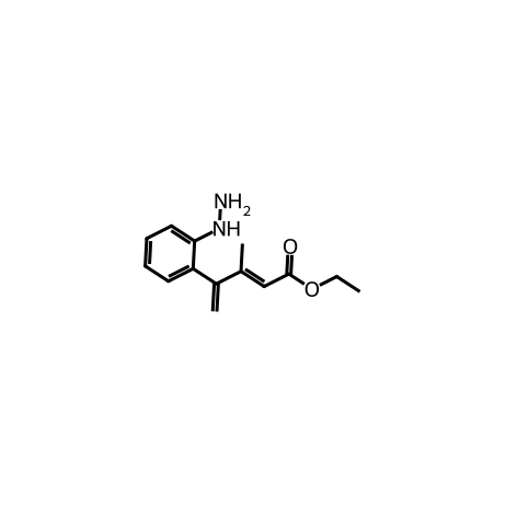 C=C(/C(C)=C/C(=O)OCC)c1ccccc1NN